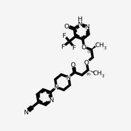 C[C@H](CC(=O)N1CCN(c2ccc(C#N)cn2)CC1)OC[C@H](C)Oc1cn[nH]c(=O)c1C(F)(F)F